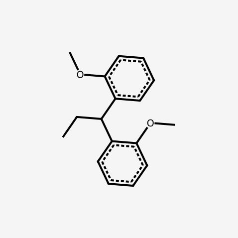 CCC(c1ccccc1OC)c1ccccc1OC